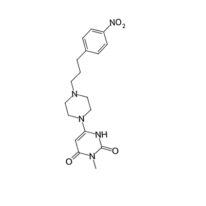 Cn1c(=O)cc(N2CCN(CCCc3ccc([N+](=O)[O-])cc3)CC2)[nH]c1=O